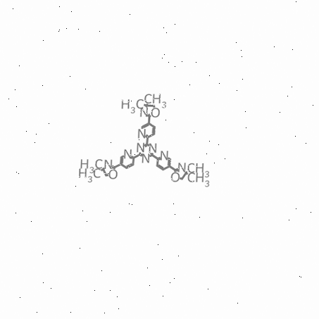 CC1(C)COC(c2ccc(-c3nc(-c4ccc(C5=NC(C)(C)CO5)cn4)nc(-c4ccc(C5=NC(C)(C)CO5)cn4)n3)nc2)=N1